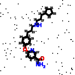 NC(=O)c1ccc(Oc2ccc(CCCNCCCC3CCCC3)cc2)nc1